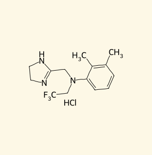 Cc1cccc(N(CC2=NCCN2)CC(F)(F)F)c1C.Cl